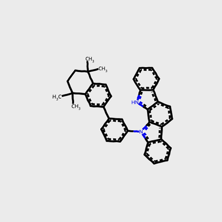 CC1(C)CCC(C)(C)c2cc(-c3cccc(-n4c5ccccc5c5ccc6c7ccccc7[nH]c6c54)c3)ccc21